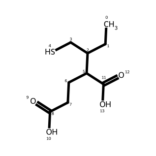 CCC(CS)C(CCC(=O)O)C(=O)O